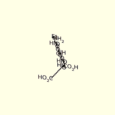 C=C(CC)[C@@H](N)CCCCNC(=O)COCCOCCNC(=O)COCCOCCNC(=O)CCC(NC(=O)CCCCCCCCCCCCCCCCC(=O)O)C(=O)O